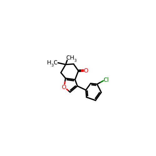 CC1(C)CC(=O)c2c(-c3cccc(Cl)c3)coc2C1